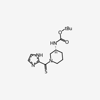 CC(C)(C)OC(=O)N[C@@H]1CCCN(C(=S)c2ncc[nH]2)C1